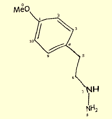 COc1ccc(CCNN)cc1